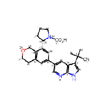 CC(C)(C#N)c1c[nH]c2ncc(-c3cc4c(c([C@@H]5CCCN5C(=O)O)c3)COCC4)cc12